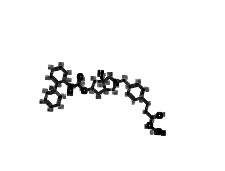 CC(C)(C)OC(=O)CCc1ccc(CN2CC3CC(OC(=O)Nc4ccccc4-c4ccccc4)C[C@@H]3C2)cc1